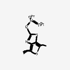 CCCN(CCC)Oc1nc2c(C)sc(C)c2s1